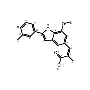 COc1cc(C=C(C)C(=O)O)cc2cc(-c3cccc(C)c3)oc12